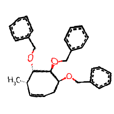 C[C@H]1C=CC[C@H](OCc2ccccc2)[C@H](OCc2ccccc2)[C@H]1OCc1ccccc1